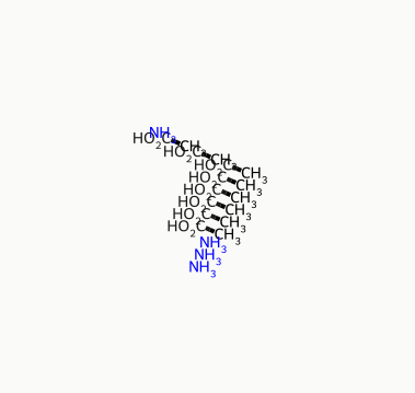 CC(=O)O.CC(=O)O.CC(=O)O.CC(=O)O.CC(=O)O.CC(=O)O.CC(=O)O.CC(=O)O.N.N.N.N